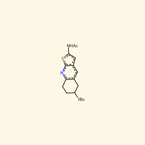 CC(=O)Nc1cc2cc3c(nc2s1)CCC(C(C)(C)C)C3